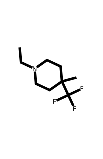 CCN1CCC(C)(C(F)(F)F)CC1